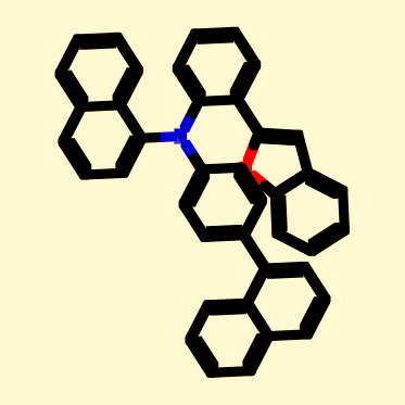 c1ccc(N(c2ccc(-c3cccc4ccccc34)cc2)c2cccc3ccccc23)c(-c2cc3ccccc3o2)c1